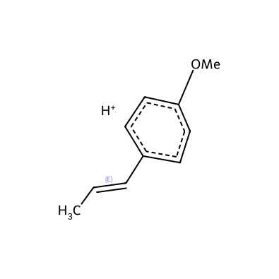 C/C=C/c1ccc(OC)cc1.[H+]